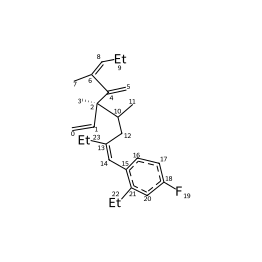 C=C[C@@](C)(C(=C)/C(C)=C\CC)C(C)C/C(=C\c1ccc(F)cc1CC)CC